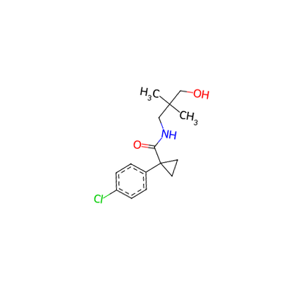 CC(C)(CO)CNC(=O)C1(c2ccc(Cl)cc2)CC1